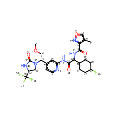 COC[C@H](c1ccnc(NC(=O)C(NC(=O)c2nocc2C)C2CCC(F)CC2)c1)N1C[C@@H](C(F)(F)F)NC1=O